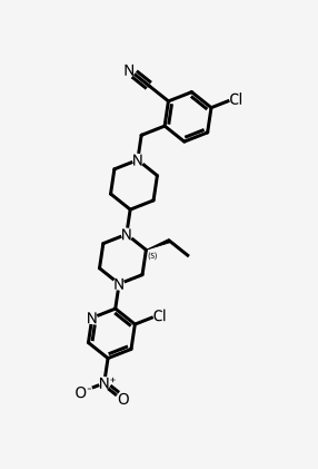 CC[C@H]1CN(c2ncc([N+](=O)[O-])cc2Cl)CCN1C1CCN(Cc2ccc(Cl)cc2C#N)CC1